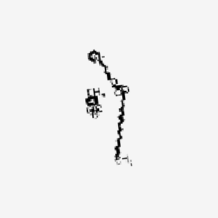 CCCCCCCCCCCCCCCCCC1OCC(COCCCCCC[n+]2ccccc2)O1.Cc1ccc(S(=O)(=O)[O-])cc1